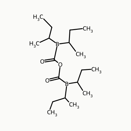 CCC(C)B(C(=O)OC(=O)B(C(C)CC)C(C)CC)C(C)CC